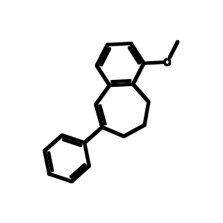 COc1cccc2c1CCCC(c1ccccc1)=C2